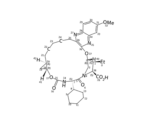 CC[C@@H]1[C@@H]2CN(C(=O)[C@H](C3CCCCC3)NC(=O)O[C@@H]3C[C@H]3CCCCCc3nc4ccc(OC)cc4nc3O2)[C@@H]1C(=O)O